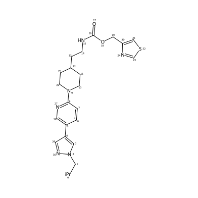 CC(C)Cn1cc(-c2ccc(N3CCC(CCNC(=O)OCc4cscn4)CC3)nc2)cn1